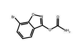 NC(=O)Oc1noc2c(Br)cccc12